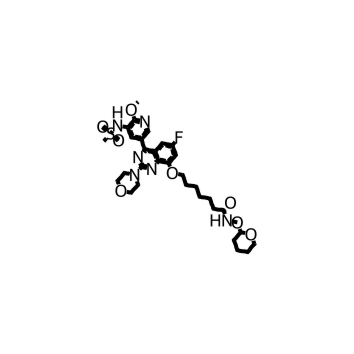 COc1ncc(-c2nc(N3CCOCC3)nc3c(OCCCCCCC(=O)NOC4CCCCO4)cc(F)cc23)cc1NS(C)(=O)=O